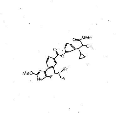 COC(=O)[C@@H](C)[C@H](c1cccc(OC(=O)c2ccc(-c3cc(OC)ncc3F)c(CN(C(C)C)C(C)C)c2)c1)C1CC1